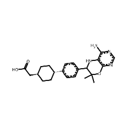 CC1(C)Oc2ncnc(N)c2NC1c1ccc([C@H]2CC[C@H](CC(=O)O)CC2)cc1